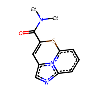 CCN(CC)C(=O)C1=Cc2cnc3cccc(n23)S1